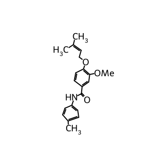 COc1cc(C(=O)Nc2ccc(C)cc2)ccc1OCC=C(C)C